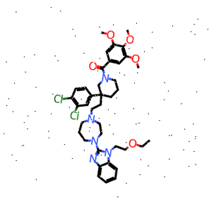 CCOCCn1c(N2CCCN(CCC3(c4ccc(Cl)c(Cl)c4)CCCN(C(=O)c4cc(OC)c(OC)c(OC)c4)C3)CC2)nc2ccccc21